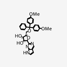 COc1ccc(C(OC[C@H]2OC(c3ncc4cc[nH]c4n3)[C@H](O)[C@@H]2O)(c2ccccc2)c2ccc(OC)cc2)cc1